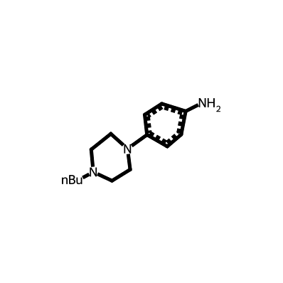 CCCCN1CCN(c2ccc(N)cc2)CC1